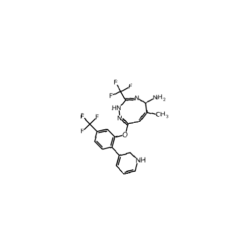 C/C1=C/C(Oc2cc(C(F)(F)F)ccc2C2=CC=CNC2)=N\N/C(C(F)(F)F)=N\C1N